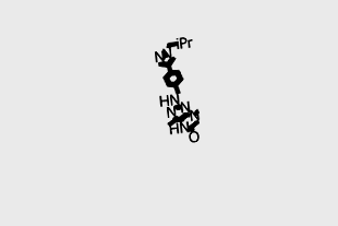 Cc1nc(NCc2ccc(-c3cnn(CC(C)C)c3)cc2)nc2c1NC(=O)CN2C